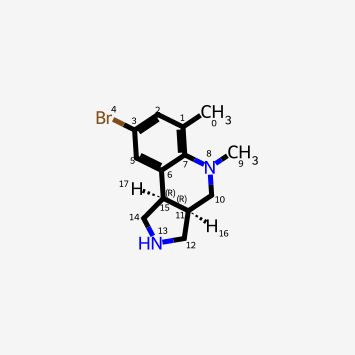 Cc1cc(Br)cc2c1N(C)C[C@H]1CNC[C@@H]21